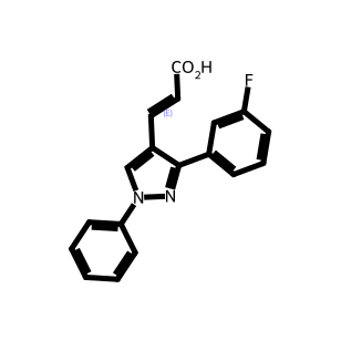 O=C(O)/C=C/c1cn(-c2ccccc2)nc1-c1cccc(F)c1